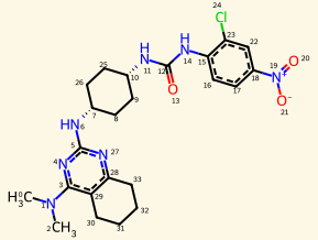 CN(C)c1nc(N[C@H]2CC[C@@H](NC(=O)Nc3ccc([N+](=O)[O-])cc3Cl)CC2)nc2c1CCCC2